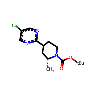 C[C@@H]1CC(c2ncc(Cl)cn2)CCN1C(=O)OC(C)(C)C